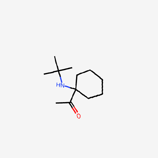 CC(=O)C1(NC(C)(C)C)CCCCC1